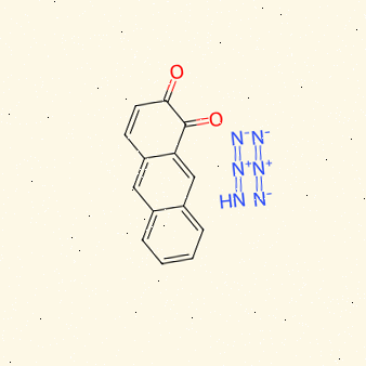 O=C1C=Cc2cc3ccccc3cc2C1=O.[N-]=[N+]=N.[N-]=[N+]=[N-]